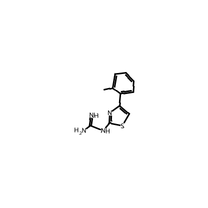 Cc1ccccc1-c1csc(NC(=N)N)n1